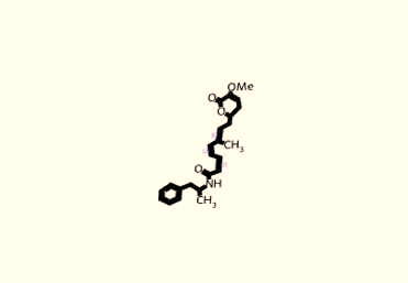 COC1=CCC(C/C=C(C)/C=C\C=C/C(=O)NC(C)Cc2ccccc2)OC1=O